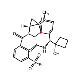 CCS(=O)(=O)c1cccc(C(=O)N2[C@@H](C(=O)N[C@@H](c3ccc(C(F)(F)F)cc3)C3(O)CCC3)C[C@H]3C[C@H]32)c1